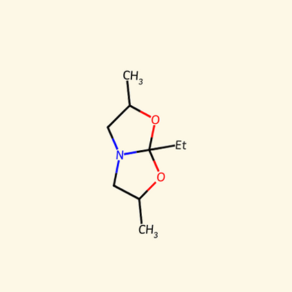 CCC12OC(C)CN1CC(C)O2